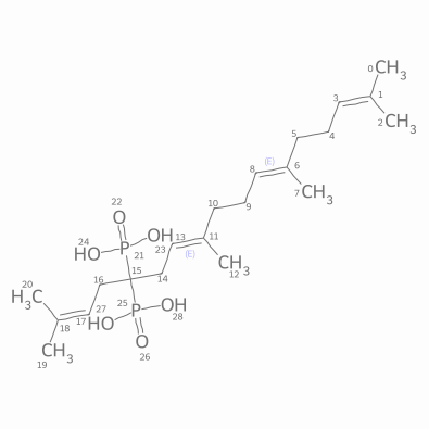 CC(C)=CCC/C(C)=C/CC/C(C)=C/CC(CC=C(C)C)(P(=O)(O)O)P(=O)(O)O